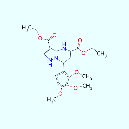 CCOC(=O)C1=CNN2C1NC(C(=O)OCC)CC2c1ccc(OC)c(OC)c1OC